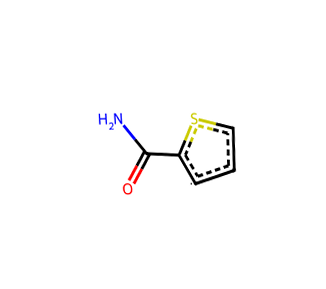 NC(=O)c1[c]ccs1